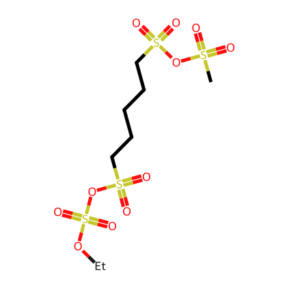 CCOS(=O)(=O)OS(=O)(=O)CCCCCS(=O)(=O)OS(C)(=O)=O